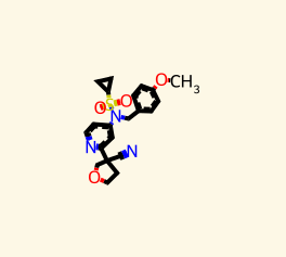 COc1ccc(CN(c2ccnc(C3(C#N)CCOC3)c2)S(=O)(=O)C2CC2)cc1